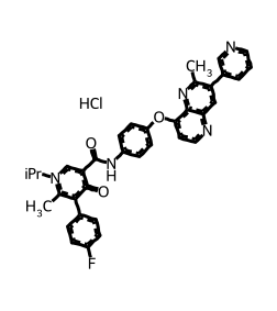 Cc1nc2c(Oc3ccc(NC(=O)c4cn(C(C)C)c(C)c(-c5ccc(F)cc5)c4=O)cc3)ccnc2cc1-c1cccnc1.Cl